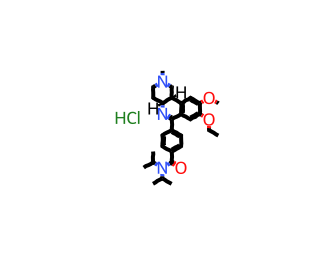 CCOc1cc2c(cc1OC)[C@H]1CN(C)CC[C@H]1N=C2c1ccc(C(=O)N(C(C)C)C(C)C)cc1.Cl